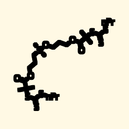 CCCSC(=S)SC(C)(C)C(=O)OCCCO[Si](C)(C)CCCOC(=O)C(C)(C)SC(=S)SCCC